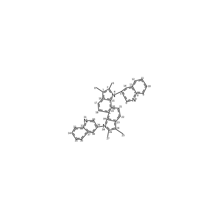 Cc1c(C)n(-c2cnc3ccccc3c2)c2c1ccc1c2ccc2c(C)c(C)n(-c3cnc4ccccc4c3)c21